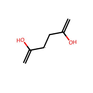 C=C(O)[CH]CC(=C)O